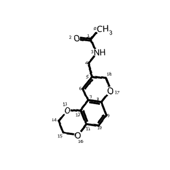 CC(=O)NCC1=Cc2c(ccc3c2OCCO3)OC1